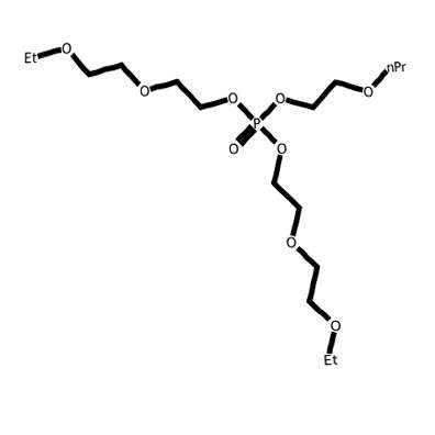 CCCOCCOP(=O)(OCCOCCOCC)OCCOCCOCC